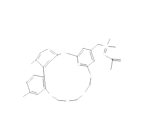 C[SH](O)(Cc1cc2nc(c1)Nc1cc(c(F)cn1)-c1ccc(F)cc1OCCCCCN2)=NC(=O)O